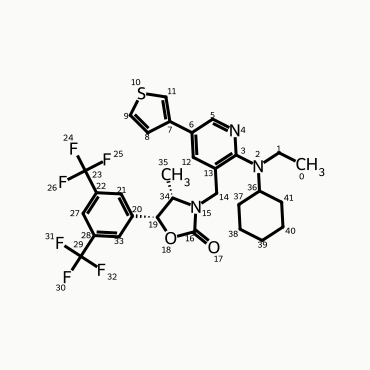 CCN(c1ncc(-c2ccsc2)cc1CN1C(=O)O[C@H](c2cc(C(F)(F)F)cc(C(F)(F)F)c2)[C@@H]1C)C1CCCCC1